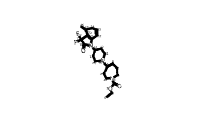 CCOC(=O)N1CCCC(N2CCC(N3C(=O)C(F)(F)C4=C3C=CCC4C)CC2)CC1